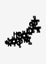 COc1cc2nn(C)cc2cc1NC(=O)c1c(O)cc(N2CCC(N(C(=O)OC(C)(C)C)C3CC3)CC2)c2cn(C)nc12